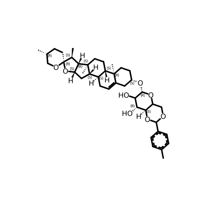 Cc1ccc(C2OCC3O[C@@H](O[C@H]4CC[C@@]5(C)C(=CC[C@H]6[C@@H]7C[C@@H]8O[C@]9(CC[C@@H](C)CO9)[C@@H](C)[C@@H]8[C@@]7(C)CC[C@@H]65)C4)C(O)[C@@H](O)[C@@H]3O2)cc1